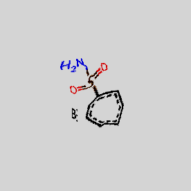 NS(=O)(=O)c1ccccc1.[B]